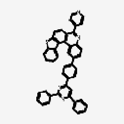 c1ccc(-c2cc(-c3ccc(-c4ccc5nc(-c6ccncc6)c6ccc7sc8ccccc8c7c6c5c4)cc3)nc(-c3ccccc3)n2)cc1